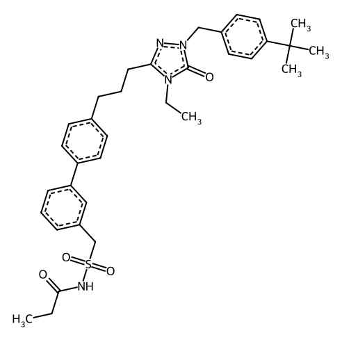 CCC(=O)NS(=O)(=O)Cc1cccc(-c2ccc(CCCc3nn(Cc4ccc(C(C)(C)C)cc4)c(=O)n3CC)cc2)c1